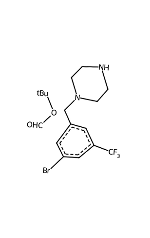 CC(C)(C)OC=O.FC(F)(F)c1cc(Br)cc(CN2CCNCC2)c1